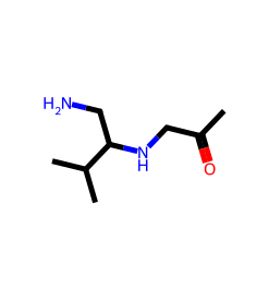 CC(=O)CNC(CN)C(C)C